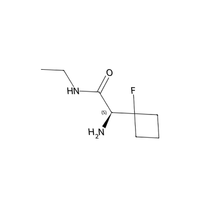 CCNC(=O)[C@H](N)C1(F)CCC1